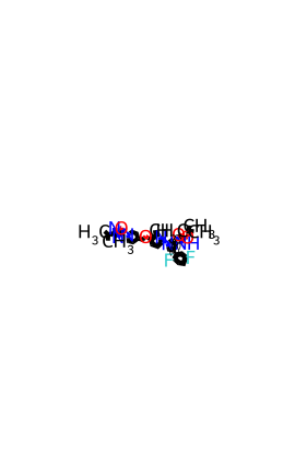 Cc1nc(N2C[C@H](NC(=O)OC(C)(C)C)[C@@H](c3cc(F)ccc3F)C2)ccc1OCC1CCN(c2nc(C(C)C)no2)CC1